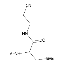 CSCC(NC(C)=O)C(=O)NCCC#N